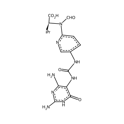 CC(C)[C@@H](C(=O)O)N(C=O)c1ccc(NC(=O)Nc2c(N)nc(N)[nH]c2=O)cn1